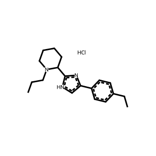 CCCN1CCCCC1c1nc(-c2ccc(CC)cc2)c[nH]1.Cl